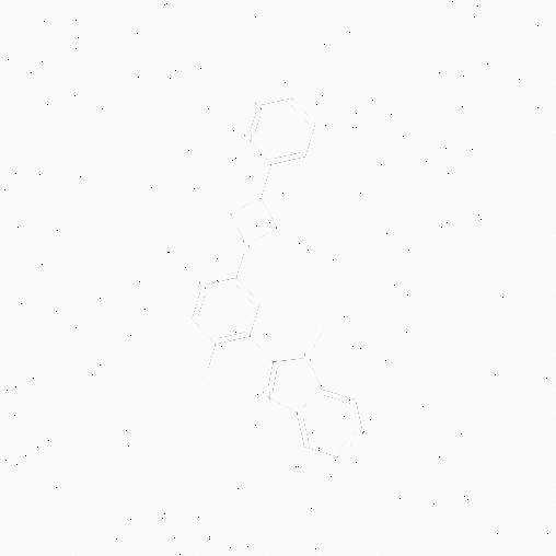 Cn1c(-c2cc(N3CC(c4cccnn4)C3)ncc2Cl)nc2ccccc21